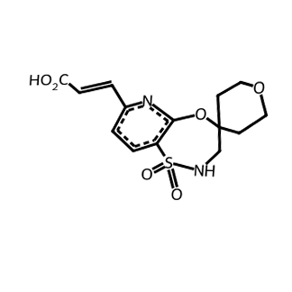 O=C(O)/C=C/c1ccc2c(n1)OC1(CCOCC1)CNS2(=O)=O